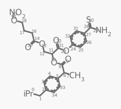 CC(C)Cc1ccc(C(C)C(=O)OC(COC(=O)CCCO[N+](=O)[O-])C(=O)Oc2ccc(C(N)=S)cc2)cc1